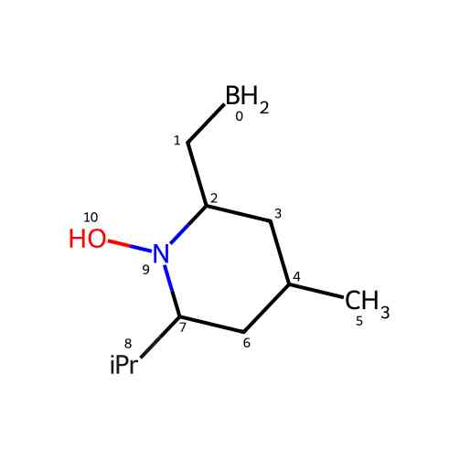 BCC1CC(C)CC(C(C)C)N1O